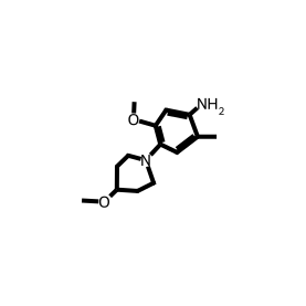 COc1cc(N)c(C)cc1N1CCC(OC)CC1